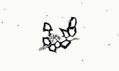 CCCC1=Cc2c(ccc3ccccc23)C1c1c(C(C)(C)C)ccc2c1[CH]([Zr][SiH](c1ccccc1)c1ccccc1)c1cc(C(C)(C)C)ccc1-2